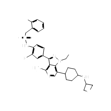 CCn1nc(-c2ccc(NS(=O)(=O)Cc3ccccc3F)c(F)c2)c2c(N)ncc(C3CCC(NC4COC4)CC3)c21